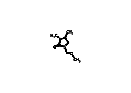 COCN1CC(C)N(C)C1=O